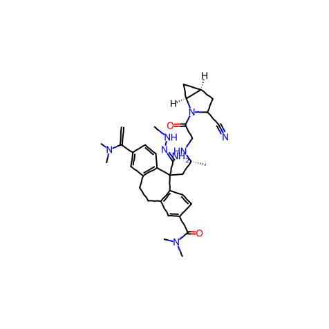 C=C(c1ccc2c(c1)CCc1cc(C(=O)N(C)C)ccc1C2(C[C@@H](C)NCC(=O)N1C(C#N)C[C@@H]2C[C@@H]21)/C(N)=N/NC)N(C)C